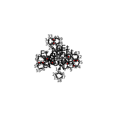 CCC(=O)OC(ON(Cc1ccccc1)Cc1ccccc1)C(C(OC(=O)CC)ON(Cc1ccccc1)Cc1ccccc1)(C(OC(=O)CC)ON(Cc1ccccc1)Cc1ccccc1)C(OC(=O)CC)ON(Cc1ccccc1)Cc1ccccc1